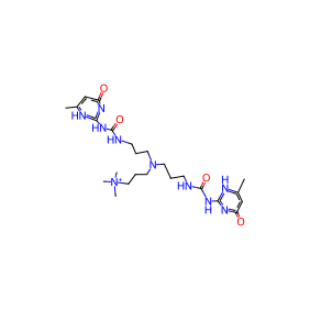 Cc1cc(=O)nc(NC(=O)NCCCN(CCCNC(=O)Nc2nc(=O)cc(C)[nH]2)CCC[N+](C)(C)C)[nH]1